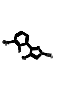 C[CH]c1cn(C)nc1-c1cccc([N+](=O)[O-])c1F